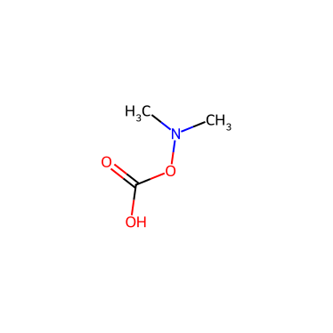 CN(C)OC(=O)O